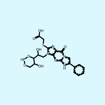 O=C(O)CSc1nc2c(=O)n3cc(-c4ccccc4)[nH]c3nc2n1CC(O)C1OPOCC1O